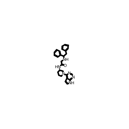 O=C(CNC(Cc1ccccc1)c1ccccc1)N[C@@H]1CCCN(c2ncnc3[nH]ccc23)C1